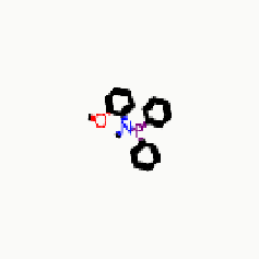 COc1ccccc1N(C)P(c1ccccc1)c1ccccc1